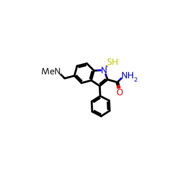 CNCc1ccc2c(c1)c(-c1ccccc1)c(C(N)=O)n2S